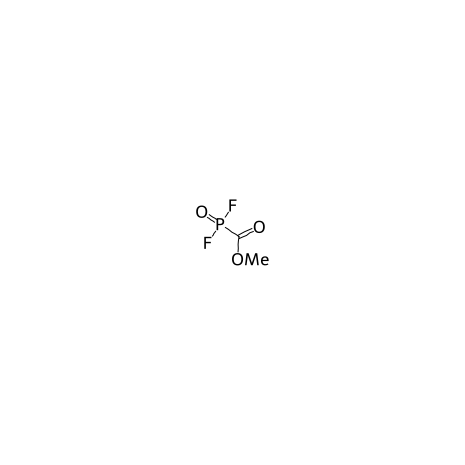 COC(=O)P(=O)(F)F